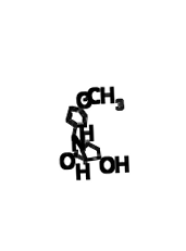 COc1ccc(CN2C(=O)[C@@H]3C[C@H]2C[C@H]3O)cc1